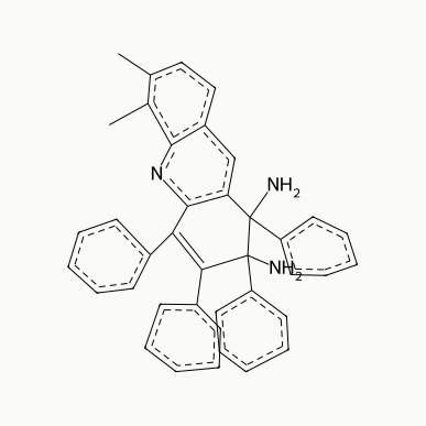 Cc1ccc2cc3c(nc2c1C)C(c1ccccc1)=C(c1ccccc1)C(N)(c1ccccc1)C3(N)c1ccccc1